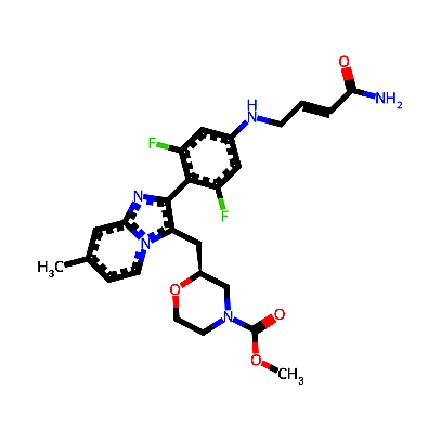 COC(=O)N1CCO[C@@H](Cc2c(-c3c(F)cc(NC/C=C/C(N)=O)cc3F)nc3cc(C)ccn23)C1